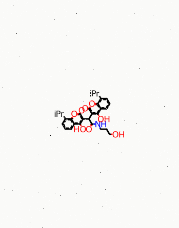 CC(C)c1cccc2c(O)c(C(C(=O)NCCCO)c3c(O)c4cccc(C(C)C)c4oc3=O)c(=O)oc12